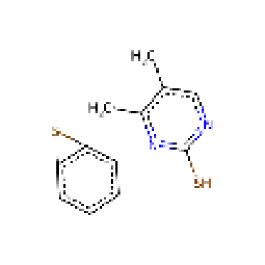 Cc1cnc(S)nc1C.c1ccc2c(c1)S2